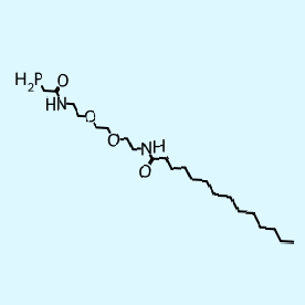 CCCCCCCCCCCCCC(=O)NCCOCCOCCNC(=O)CP